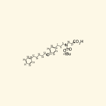 CC(C)(C)OC(=O)N(CCCc1ccc(OCCCCCc2ccccc2)cc1)CCC(=O)O